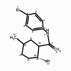 C=C(Nc1ccc(CC)cc1)C1CC(C)CC[C@H]1C(C)C